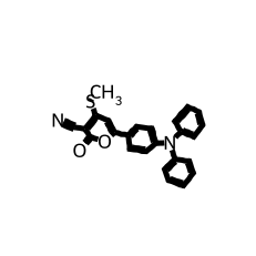 CSc1cc(-c2ccc(N(c3ccccc3)c3ccccc3)cc2)oc(=O)c1C#N